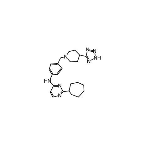 c1cc(Nc2ccc(CN3CCC(c4nn[nH]n4)CC3)cc2)nc(C2CCCCCC2)n1